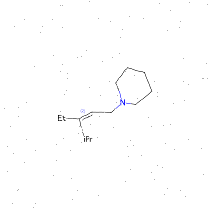 CC/C(=C/CN1CCCCC1)C(C)C